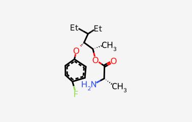 CCC(CC)[C@@H](Oc1ccc(F)cc1)[C@H](C)OC(=O)[C@H](C)N